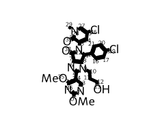 COc1ncc(-c2nc3c(n2CCCO)C(c2ccc(Cl)cc2)N(c2cc(Cl)cn(C)c2=O)C3=O)c(OC)n1